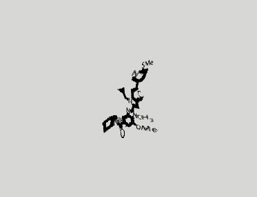 COc1cc(C(=O)N2CC3CCC2C3N)cc2nc(-c3cc4ccc(-c5ccc(SC)nc5)cc4n3CC3CC3)n(C)c12